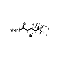 CCCCCC(Br)CCC[N+](C)(C)C.[Br-]